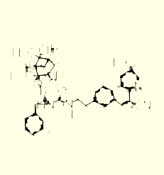 CC1(C)[C@@H]2C[C@H]3OB([C@H](Cc4ccccc4)NC(=O)NCCc4cccc(C=C(C#N)c5ccc(C(F)(F)F)cn5)c4)O[C@@]3(C)[C@H]1C2